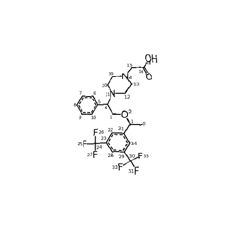 CC(OCC(c1ccccc1)N1CCN(CC(=O)O)CC1)c1cc(C(F)(F)F)cc(C(F)(F)F)c1